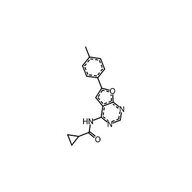 Cc1ccc(-c2cc3c(NC(=O)C4CC4)ncnc3o2)cc1